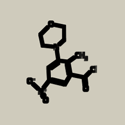 Cc1c(C(=O)Cl)cc([N+](=O)[O-])cc1N1CCOCC1